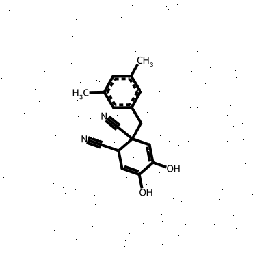 Cc1cc(C)cc(CC2(C#N)C=C(O)C(O)=CC2C#N)c1